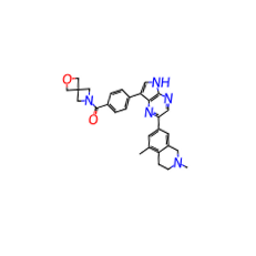 Cc1cc(-c2cnc3[nH]cc(-c4ccc(C(=O)N5CC6(COC6)C5)cc4)c3n2)cc2c1CCN(C)C2